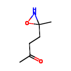 CC(=O)CCC1(C)NO1